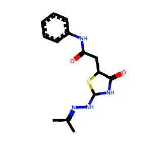 CC(C)=NNC1NC(=O)C(CC(=O)Nc2ccccc2)S1